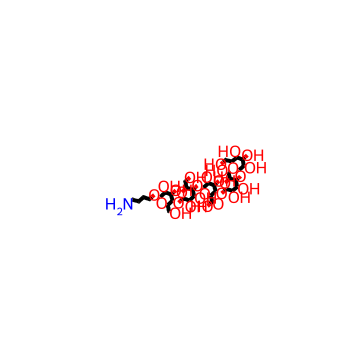 NCCCCOC1OC(CO)C(OC2OC(CO)C(OC3OC(C(=O)O)C(OC4OC(CO)C(OC5OC(CO)C(O)C(O)C5O)C(O)C4O)C(O)C3O)C(O)C2O)C(O)C1O